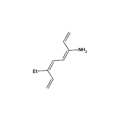 C=C/C(=C\C=C(\N)C=C)CC